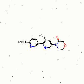 CC(=O)Nc1ccc(-c2ncc(N3CCOCC3=O)cc2C(C)(C)C)cn1